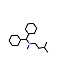 CC(C)CCN(C)C(C1CCCCC1)C1CCCCC1